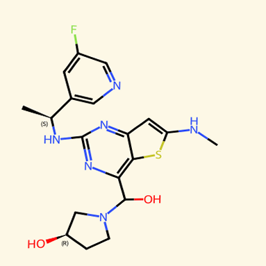 CNc1cc2nc(N[C@@H](C)c3cncc(F)c3)nc(C(O)N3CC[C@@H](O)C3)c2s1